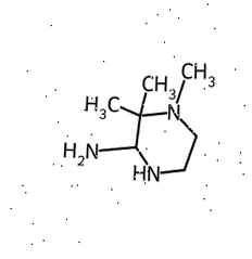 CN1CCNC(N)C1(C)C